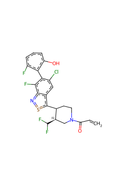 C=CC(=O)N1CCC(c2snc3c(F)c(-c4c(O)cccc4F)c(Cl)cc23)[C@H](C(F)F)C1